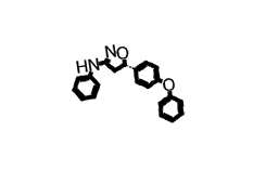 c1ccc(NC2=NO[C@H](c3ccc(Oc4ccccc4)cc3)C2)cc1